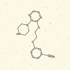 N#Cc1cccc(OCCOc2nccnc2N2CCNCC2)c1